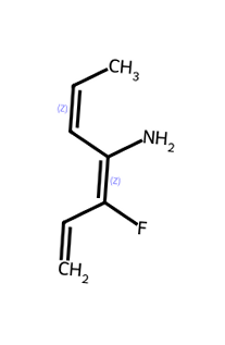 C=C/C(F)=C(N)\C=C/C